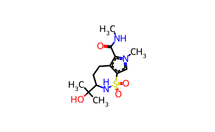 CNC(=O)c1c2c(cn1C)S(=O)(=O)NC(C(C)(C)O)CC2